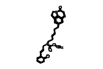 CC(C)(C)OC(=O)N(CCCCCCc1cc2c3c(c1)CCN3C(=O)CC2)CCCC1=CC=CCC1=O